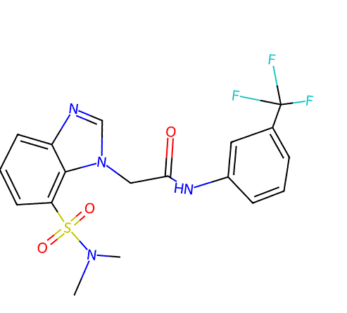 CN(C)S(=O)(=O)c1cccc2ncn(CC(=O)Nc3cccc(C(F)(F)F)c3)c12